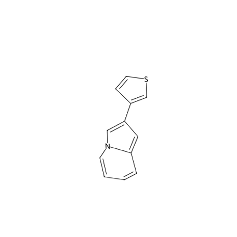 c1ccn2cc(-c3ccsc3)cc2c1